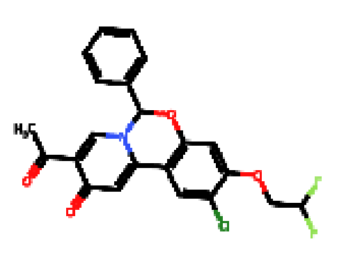 CC(=O)c1cn2c(cc1=O)-c1cc(Cl)c(OCC(F)F)cc1OC2c1ccccc1